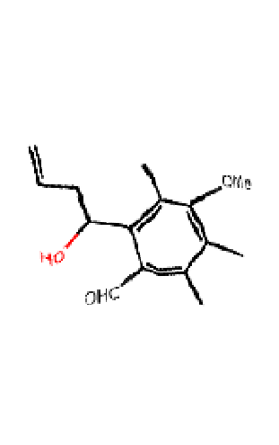 C=CCC(O)c1c(C)c(OC)c(C)c(C)c1C=O